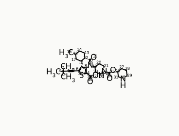 CC(C)(C)C#Cc1cc(N(C(=O)[C@H]2CC[C@H](C)CC2)C2CCN(C(=O)O[C@@H]3CCCNC3)CC2)c(C(=O)O)s1